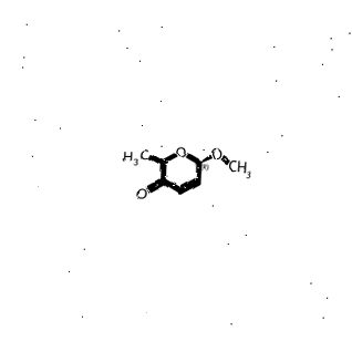 CO[C@H]1C=CC(=O)C(C)O1